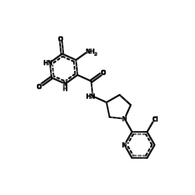 Nc1c(C(=O)NC2CCN(c3ncccc3Cl)C2)[nH]c(=O)[nH]c1=O